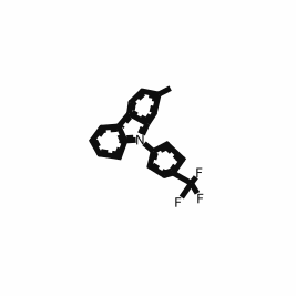 Cc1ccc2c3ccccc3n(-c3ccc(C(F)(F)F)cc3)c2c1